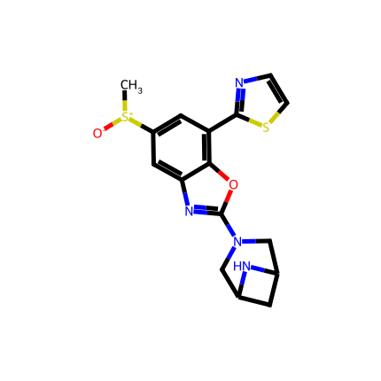 C[S+]([O-])c1cc(-c2nccs2)c2oc(N3CC4CC(C3)N4)nc2c1